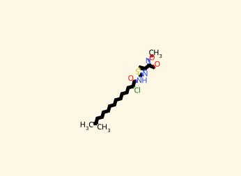 CON=C([C]=O)c1csc(NC(=O)C(Cl)CCCCCCCCCCCC(C)C)n1